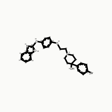 OC1(c2ccc(Br)cc2)CCN(CCOc2ccc(Oc3nc4ccccc4o3)cc2)CC1